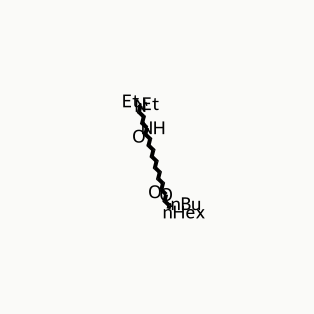 CCCCCCC(CCCC)COC(=O)CCCCCCCCCC(=O)NCCCN(CC)CC